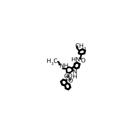 CCCNCC1Cc2c([nH]c3ccc(NC(=O)c4cccc(CC)c4)cc23)C(OS(=O)(=O)c2cccc3ccccc23)C1